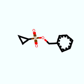 O=S(=O)(OCc1ccccc1)C1CC1